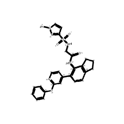 CC(C)n1ccc(S(=O)(=O)NCC(=O)Nc2c(-c3ccnc(Oc4ccccc4)c3)ccc3c2CCC3)n1